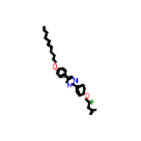 CCCCCCCCCCCOc1ccc(-c2cnc(-c3ccc(OCC(F)CC(C)C)cc3)nc2)cc1